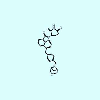 O=C1CCC(N2C(=O)c3cccc4c(Cc5ccc(CN6C7COCC6C7)cc5)ccc2c34)C(=O)N1